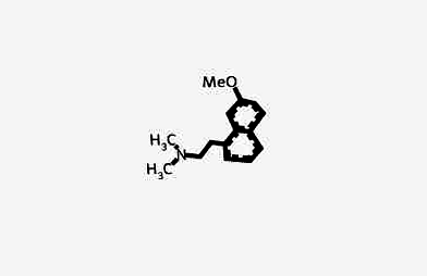 COc1ccc2cccc(CCN(C)C)c2c1